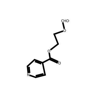 O=[C]OCCOC(=O)c1ccncc1